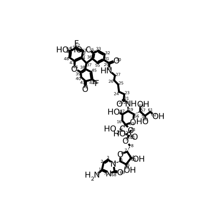 Nc1ccn([C@@H]2O[C@H](COP(=O)(O)O[C@@]3(C(=O)O)CC(O)[C@@H](NC(=O)CCCCCNC(=O)c4ccc(C(=O)O)c(C5C6=C(CC(=O)C(F)=C6)Oc6cc(O)c(F)cc65)c4)[C@H](C(O)[C@H](O)CO)O3)[C@H](O)[C@H]2O)c(=O)n1